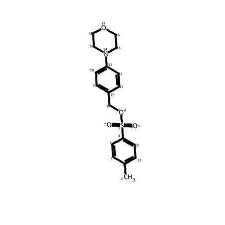 Cc1ccc(S(=O)(=O)OCc2ccc(N3CCOCC3)cc2)cc1